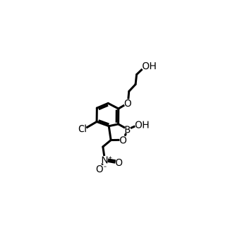 O=[N+]([O-])CC1OB(O)c2c(OCCCO)ccc(Cl)c21